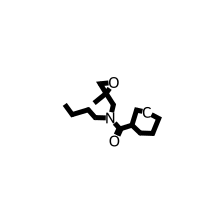 CCCCN(CC1(C)CO1)C(=O)C1CCCCC1